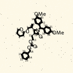 C=C(CO[C@@H]1CCCCO1)[C@@H]1[C@H](CCOC(=O)OCc2ccccc2)C(=O)N1C(c1ccc(OC)cc1)c1ccc(OC)cc1